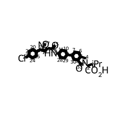 CC(C)C(C(=O)O)N1Cc2ccc(-c3ccc(NC(=O)c4cc(-c5ccc(Cl)cc5)no4)cc3)cc2C1=O